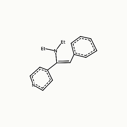 CCN(CC)C(=Cc1ccccc1)c1ccncc1